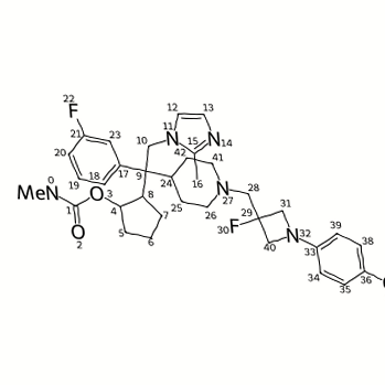 CNC(=O)OC1CCCC1C(Cn1ccnc1C)(c1cccc(F)c1)C1CCN(CC2(F)CN(c3ccc(C#N)cc3)C2)CC1